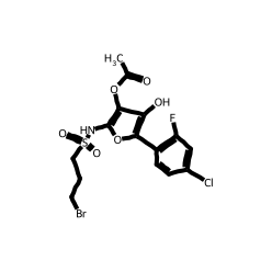 CC(=O)Oc1c(NS(=O)(=O)CCCBr)oc(-c2ccc(Cl)cc2F)c1O